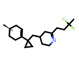 C[C@H]1CC=C(C2(CC3CCN=C(CCC(C)(F)F)C3)CC2)CC1